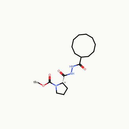 CC(C)(C)OC(=O)N1CCC[C@H]1C(=O)NNC(=O)C1CCCCCCCCC1